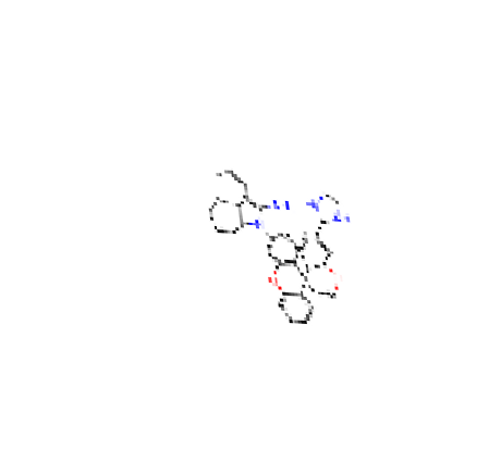 C/C=C\C1=C(N)N(c2ccc3c(c2)Oc2ccccc2C32C3C=CC=CC3OC3C=C(C4NCCN4)C=CC32)C2C=CCCC12